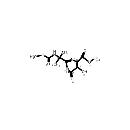 COC(=O)NC(C)(C)c1nc(C(=O)OC)c(O)c(=O)[nH]1